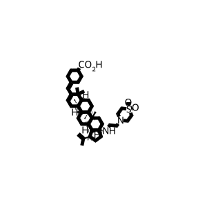 C=C(C)[C@@H]1CC[C@]2(NCCN3CCS(=O)(=O)CC3)CC[C@]3(C)[C@H](CC[C@@H]4[C@@]5(C)CC=C(C=C6CCC(C(=O)O)CC6)C(C)(C)[C@@H]5CC[C@]43C)[C@@H]12